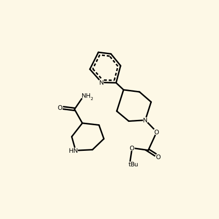 CC(C)(C)OC(=O)ON1CCC(c2ccccn2)CC1.NC(=O)C1CCCNC1